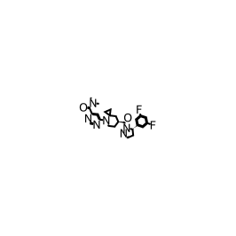 CN(C)C(=O)c1cc(N2CC[C@H](C(=O)N3N=CC[C@H]3c3cc(F)cc(F)c3)CC23CC3)ncn1